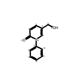 O=c1ccc(CO)cn1-c1ccccc1